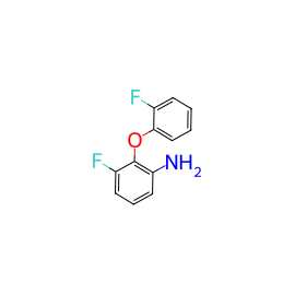 Nc1cccc(F)c1Oc1ccccc1F